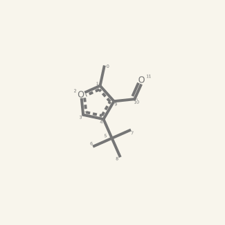 Cc1occ(C(C)(C)C)c1[C]=O